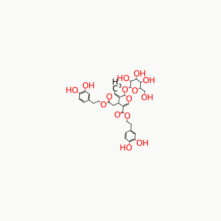 C/C=C1\C(OC2OC(CO)C(O)C(O)C2O)OC=C(C(=O)OCCc2ccc(O)c(O)c2)C1CC(=O)OCCc1ccc(O)c(O)c1